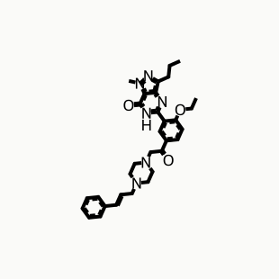 CCCc1nn(C)c2c(=O)[nH]c(-c3cc(C(=O)CN4CCN(CC=Cc5ccccc5)CC4)ccc3OCC)nc12